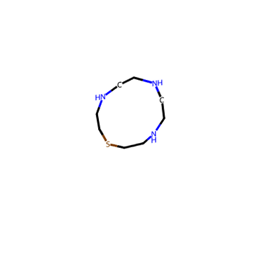 C1CNCCSCCNCCN1